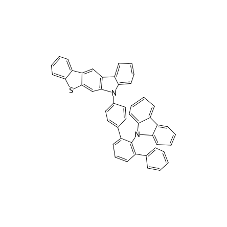 c1ccc(-c2cccc(-c3ccc(-n4c5ccccc5c5cc6c(cc54)sc4ccccc46)cc3)c2-n2c3ccccc3c3ccccc32)cc1